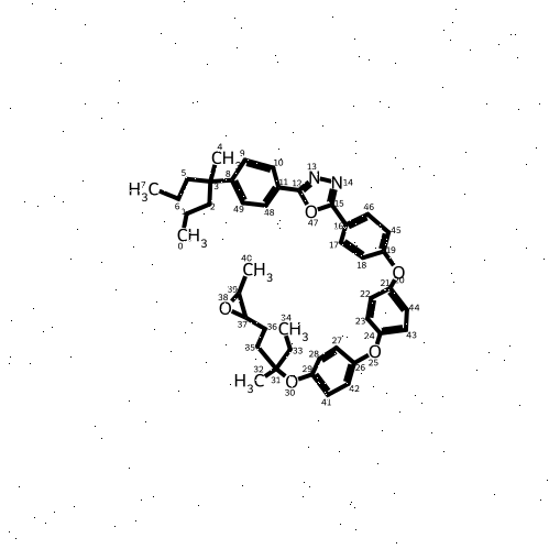 CCCC(C)(CCC)c1ccc(-c2nnc(-c3ccc(Oc4ccc(Oc5ccc(OC(C)(CC)CCC6OC6C)cc5)cc4)cc3)o2)cc1